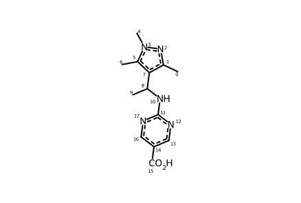 Cc1nn(C)c(C)c1C(C)Nc1ncc(C(=O)O)cn1